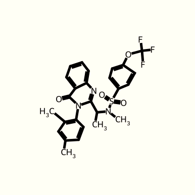 Cc1ccc(-n2c(C(C)N(C)S(=O)(=O)c3ccc(OC(F)(F)F)cc3)nc3ccccc3c2=O)c(C)c1